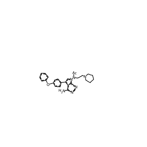 CC(=O)N(CCN1CCCCC1)n1cc(-c2ccc(Oc3ccccc3)cc2)c2c(N)ncnc21